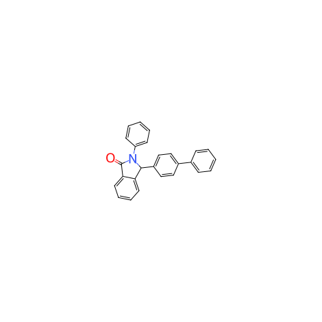 O=C1c2ccccc2C(c2ccc(-c3ccccc3)cc2)N1c1ccccc1